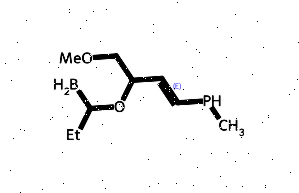 BC(CC)OC(/C=C/PC)COC